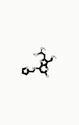 C=Cc1c(C[C@H](C)N)oc2c(NCc3cccs3)cc(Cl)nc12